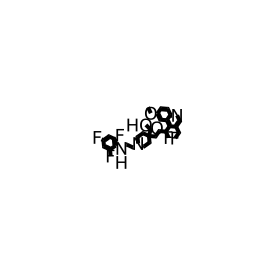 COc1ccc2ncc(CF)c(C(F)CCC3(C(=O)O)CCN(CCNc4c(F)cc(F)cc4F)CC3)c2c1